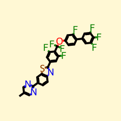 Cc1cnc(-c2ccc3nc(-c4cc(F)c(C(F)(F)Oc5ccc(-c6cc(F)c(F)c(F)c6)c(F)c5)c(F)c4)sc3c2)nc1